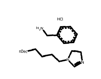 CCCCCCCCCCCCCCN1C=NCC1.Cl.NCc1ccccc1